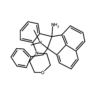 CN(C)C1(Cc2ccccc2)c2cccc3cccc(c23)C1(N)c1ccccc1N1CCOCC1